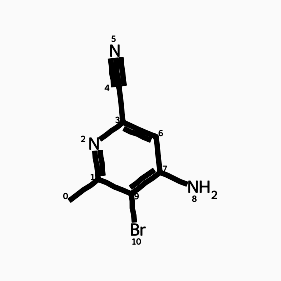 Cc1nc(C#N)cc(N)c1Br